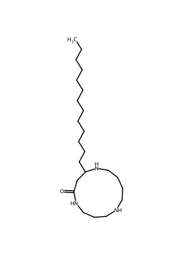 CCCCCCCCCCCCCC1CC(=O)NCCCNCCCCN1